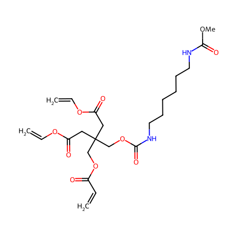 C=COC(=O)CC(COC(=O)C=C)(COC(=O)NCCCCCCNC(=O)OC)CC(=O)OC=C